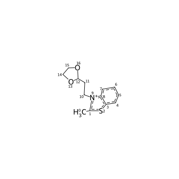 Cc1sc2ccccc2[n+]1CCC1OCCO1